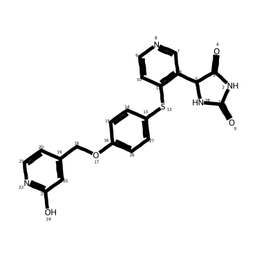 O=C1NC(=O)C(c2cnccc2Sc2ccc(OCc3ccnc(O)c3)cc2)N1